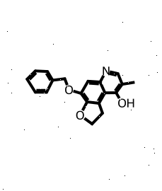 Cc1cnc2cc(OCc3ccccc3)c3c(c2c1O)CCO3